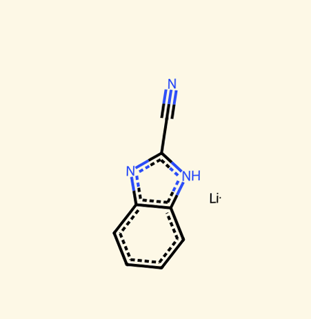 N#Cc1nc2ccccc2[nH]1.[Li]